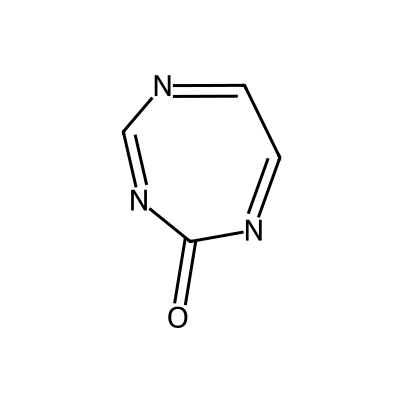 O=c1nccncn1